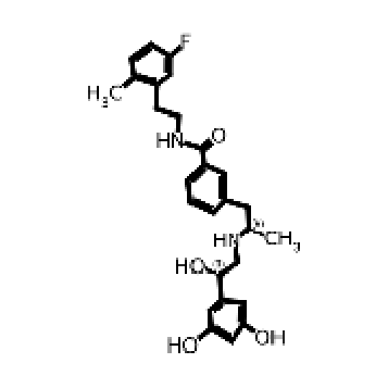 Cc1ccc(F)cc1CCNC(=O)c1cccc(C[C@@H](C)NC[C@H](O)c2cc(O)cc(O)c2)c1